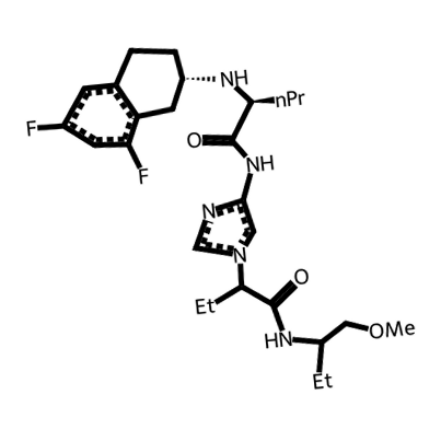 CCC[C@H](N[C@H]1CCc2cc(F)cc(F)c2C1)C(=O)Nc1cn(C(CC)C(=O)NC(CC)COC)cn1